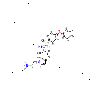 CN(C)CCn1ccc2ccc(NS(=O)(=O)c3ccc(Oc4ccccc4)cc3)cc21